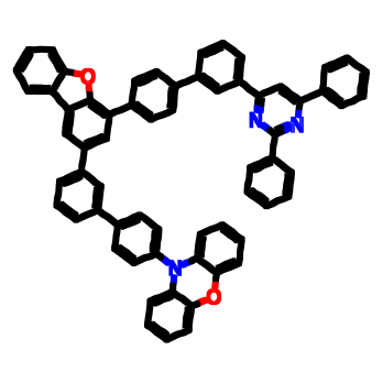 c1ccc(-c2cc(-c3cccc(-c4ccc(-c5cc(-c6cccc(-c7ccc(N8c9ccccc9Oc9ccccc98)cc7)c6)cc6c5oc5ccccc56)cc4)c3)nc(-c3ccccc3)n2)cc1